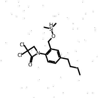 CCCCc1ccc(N2CC(Cl)(Cl)C2=O)c(CO[SiH](C)C)c1